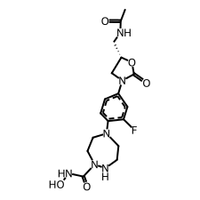 CC(=O)NC[C@H]1CN(c2ccc(N3CCNN(C(=O)NO)CC3)c(F)c2)C(=O)O1